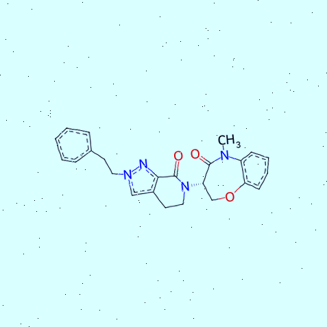 CN1C(=O)[C@@H](N2CCc3cn(CCc4ccccc4)nc3C2=O)COc2ccccc21